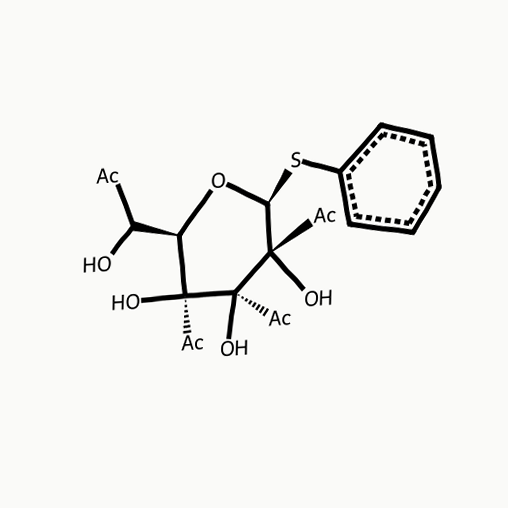 CC(=O)C(O)[C@H]1O[C@@H](Sc2ccccc2)[C@@](O)(C(C)=O)[C@](O)(C(C)=O)[C@]1(O)C(C)=O